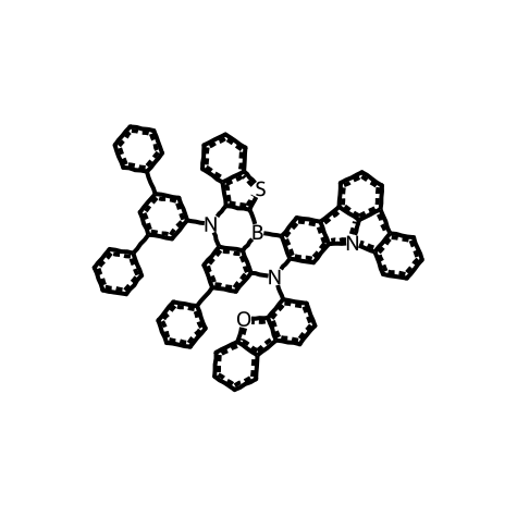 c1ccc(-c2cc(-c3ccccc3)cc(N3c4cc(-c5ccccc5)cc5c4B(c4cc6c7cccc8c9ccccc9n(c6cc4N5c4cccc5c4oc4ccccc45)c87)c4sc5ccccc5c43)c2)cc1